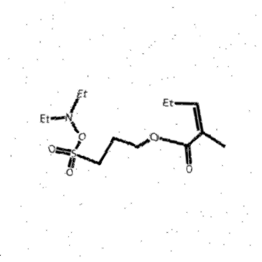 CCC=C(C)C(=O)OCCCS(=O)(=O)ON(CC)CC